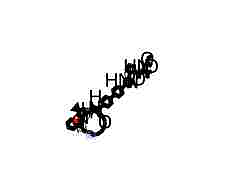 COC(=O)N[C@H](C(=O)N1CCC[C@H]1c1ncc(-c2ccc(-c3ccc(-c4nc5[nH]c4COCCC/C=C/C[C@@](C)(c4ccccc4)C(=O)N4CC6(CC6)C[C@@H]54)cc3)cc2)[nH]1)C(C)C